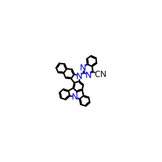 N#Cc1nc(-n2c3cc4ccccc4cc3c3c4c5ccccc5n5c6ccccc6c(cc32)c45)nc2ccccc12